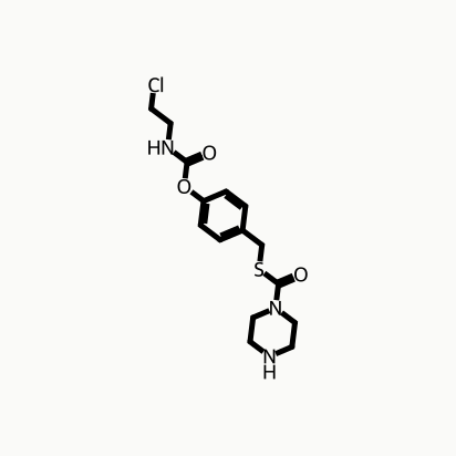 O=C(NCCCl)Oc1ccc(CSC(=O)N2CCNCC2)cc1